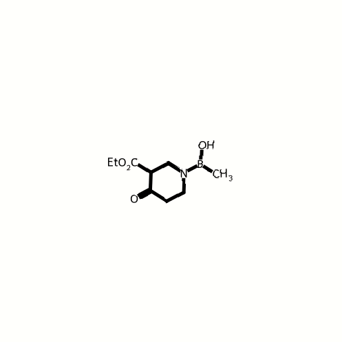 CCOC(=O)C1CN(B(C)O)CCC1=O